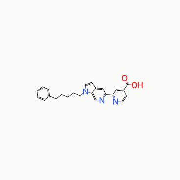 O=C(O)c1ccnc(-c2cc3ccn(CCCCCc4ccccc4)c3cn2)c1